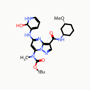 CO[C@@H]1CCC[C@@H](NC(=O)c2cnn3c(N(C)C(=O)OC(C)(C)C)cc(NC4=CC=CNC4O)nc23)C1